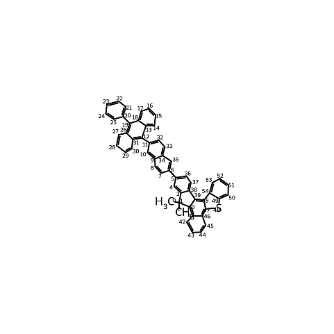 CC1(C)c2cc(-c3ccc4cc(-c5c6ccccc6c(-c6ccccc6)c6ccccc56)ccc4c3)ccc2-c2c1c1ccccc1c1sc3ccccc3c21